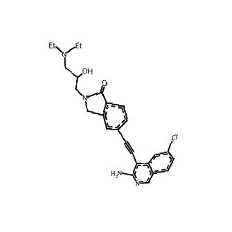 CCN(CC)CC(O)CN1Cc2cc(C#Cc3c(N)ncc4ccc(Cl)cc34)ccc2C1=O